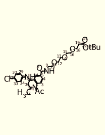 CC(=O)N1c2ccc(C(=O)NCCOCCOCCOCCC(=O)OC(C)(C)C)cc2C(Nc2ccc(Cl)cc2)CC1C